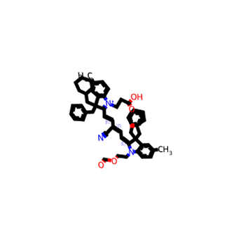 Cc1ccc2c(c1)C(Cc1ccccc1)(CC1CCCCC1)C(/C=C/C(C#N)=C/C=C1/N(CCOC=O)c3ccc(C)cc3C1(Cc1ccccc1)CC1CCCCC1)=[N+]2CCC(=O)O